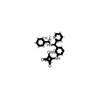 COc1c(Nc2cccc(C(N[C@@H](C)c3ccccc3)c3ccccn3)c2)c(=O)c1=O